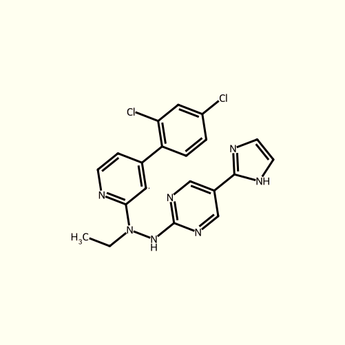 CCN(Nc1ncc(-c2ncc[nH]2)cn1)c1[c]c(-c2ccc(Cl)cc2Cl)ccn1